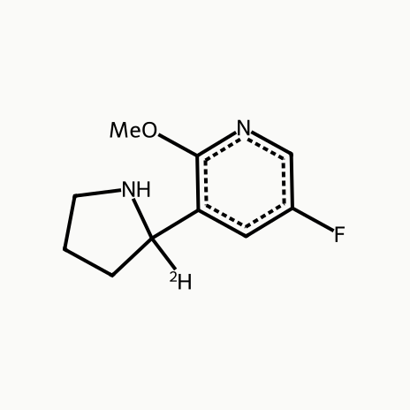 [2H]C1(c2cc(F)cnc2OC)CCCN1